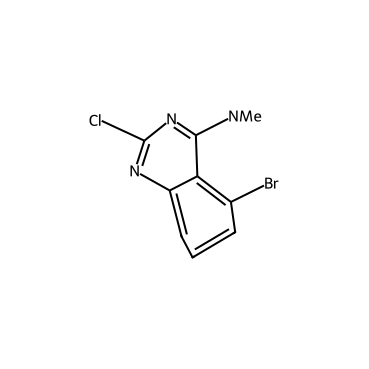 CNc1nc(Cl)nc2cccc(Br)c12